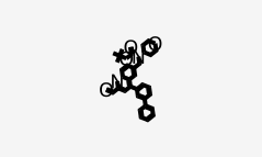 CC(C)(C)OC(=O)N(Cc1ccc2nc(C=O)cc(-c3cccc(-c4ccccc4)c3)c2c1)C1CCOCC1